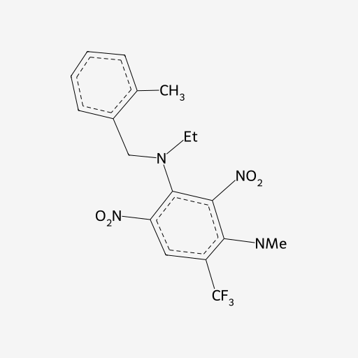 CCN(Cc1ccccc1C)c1c([N+](=O)[O-])cc(C(F)(F)F)c(NC)c1[N+](=O)[O-]